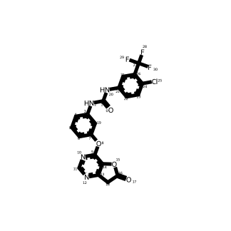 O=C(Nc1cccc(Oc2ncnc3c2OC(=O)C3)c1)Nc1ccc(Cl)c(C(F)(F)F)c1